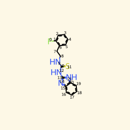 Fc1ccccc1CCNC(=S)Nc1nc2ccccc2[nH]1